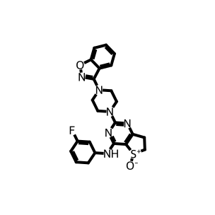 [O-][S+]1CCc2nc(N3CCN(c4noc5ccccc45)CC3)nc(NC3C=C(F)C=CC3)c21